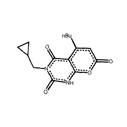 CCCCc1cc(=O)oc2[nH]c(=O)n(CC3CC3)c(=O)c12